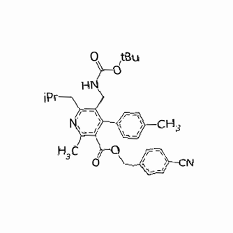 Cc1ccc(-c2c(CNC(=O)OC(C)(C)C)c(CC(C)C)nc(C)c2C(=O)OCc2ccc(C#N)cc2)cc1